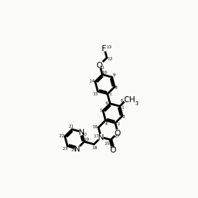 Cc1cc2c(cc1-c1ccc(OCF)cc1)CN(Cc1ncccn1)C(=O)O2